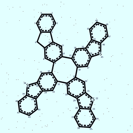 c1ccc2c(c1)Cc1cc3c(cc1-2)-c1cc2c(cc1-c1cc4sc5ccccc5c4cc1-c1cc4c(cc1-3)sc1ccccc14)sc1ccccc12